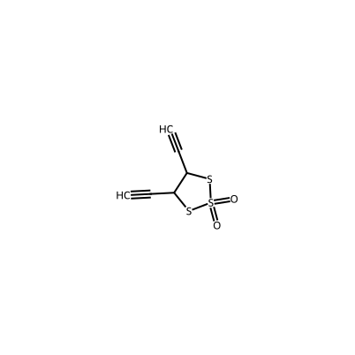 C#CC1SS(=O)(=O)SC1C#C